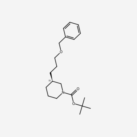 CC(C)(C)OC(=O)N1CCC[C@@H](CCCOCc2ccccc2)C1